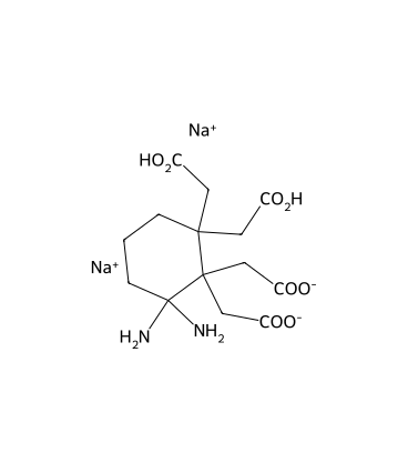 NC1(N)CCCC(CC(=O)O)(CC(=O)O)C1(CC(=O)[O-])CC(=O)[O-].[Na+].[Na+]